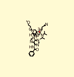 [2H]C[C@@]12CN(OCCOC)[C@@H]([C@H](n3cnc4c(NC(=O)c5ccccc5)ncnc43)O1)[C@@H]2OP(OCCC#N)N(C(C)C)C(C)C